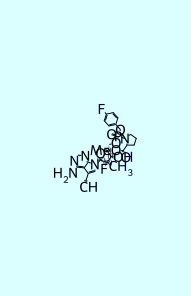 C#Cc1cn([C@@H]2O[C@H](COP(=O)(Oc3ccc(F)cc3)N3CCCC3C(=O)OC)[C@@H](O)[C@@]2(C)F)c2ncnc(N)c12